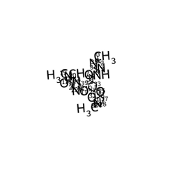 Cc1cnc(NC(=O)c2cc(Oc3cnc(C(=O)N(C)C)cn3)cc(OC3CCN(C)C3=O)c2)cn1